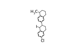 CC1CCCc2cc(C3CCc4cc(Cl)ccc4C3I)ccc21